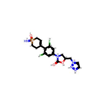 N=S1(=O)CC=C(c2c(F)cc(N3CC(Cn4ccnn4)OC3=O)cc2F)CC1